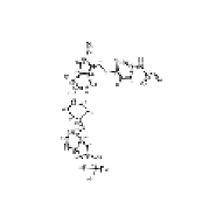 C=CC(=O)Nc1cc(C)c(CCn2c(C#N)cc3c(C)c(CN4CCC(Nc5ncnc6sc(CC(F)(F)F)cc56)CC4)ccc32)cn1